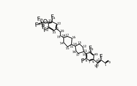 C=C/C(F)=C(\F)c1cc(F)c(C2CCC(C3CCC(CCc4cc(F)c(OC(F)(F)F)c(F)c4)CC3)CC2)c(F)c1